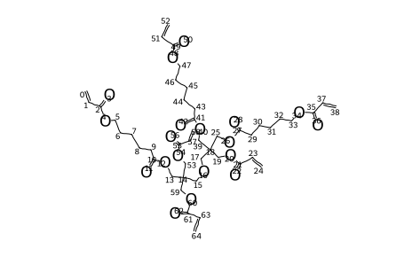 C=CC(=O)OCCCCCC(=O)OCC(COCC(COC(=O)C=C)(COC(=O)CCCCCOC(=O)C=C)COC(=O)CCCCCOC(=O)C=C)(COC(=O)C=C)COC(=O)C=C